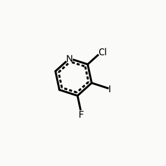 Fc1ccnc(Cl)c1I